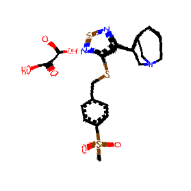 CS(=O)(=O)c1ccc(CSc2nsnc2C2CN3CCCC2C3)cc1.O=C(O)C(=O)O